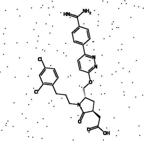 N=C(N)c1ccc(-c2ccc(OC[C@@H]3C[C@@H](CC(=O)O)C(=O)N3CCCc3ccc(Cl)cc3Cl)nn2)cc1